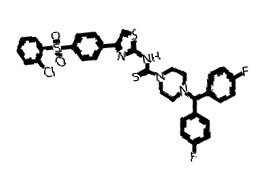 O=S(=O)(c1ccc(-c2csc(NC(=S)N3CCN(C(c4ccc(F)cc4)c4ccc(F)cc4)CC3)n2)cc1)c1ccccc1Cl